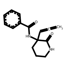 C=C=CC1(NC(=O)c2ccccc2)CCCNC1=O